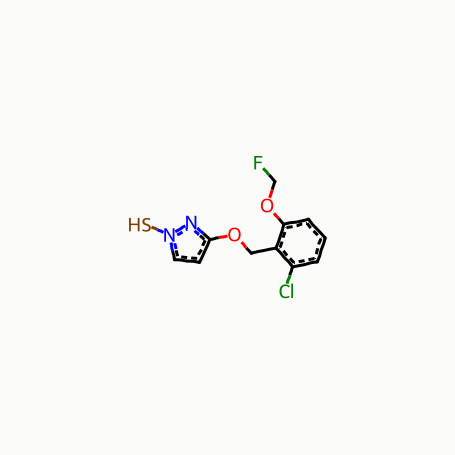 FCOc1cccc(Cl)c1COc1ccn(S)n1